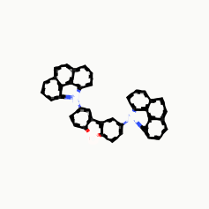 c1cc2ccc3cccc4c3c2c(c1)n4-c1ccc2oc3ccc(-n4c5cccc6ccc7cccc4c7c65)cc3c2c1